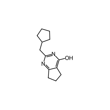 Oc1nc(CC2CCCC2)nc2c1CCC2